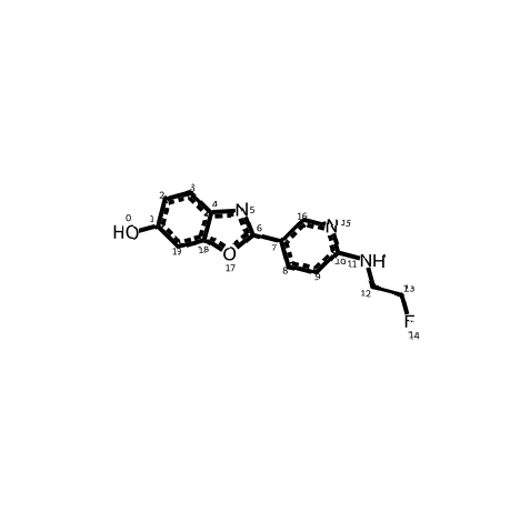 Oc1ccc2nc(-c3ccc(NCCF)nc3)oc2c1